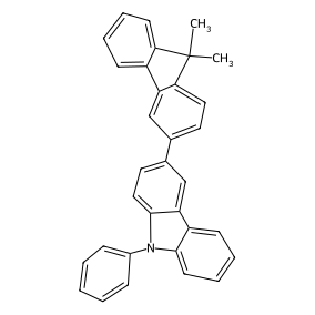 CC1(C)c2ccccc2-c2cc(-c3ccc4c(c3)c3ccccc3n4-c3ccccc3)ccc21